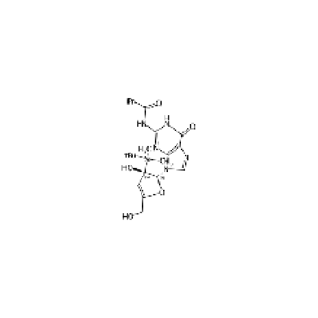 CC(C)C(=O)Nc1nc2c(ncn2[C@@H]2OC(CO)=C[C@]2(O)[Si](C)(C)C(C)(C)C)c(=O)[nH]1